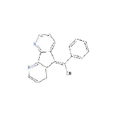 N#CC(=C1c2cccnc2-c2ncccc21)c1ccccc1